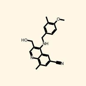 COc1ccc(CNc2c(CO)cnc3c(C)cc(C#N)cc23)cc1C